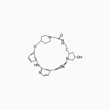 O=C1CN2CCC(CC2)Oc2cccc(c2)Nc2cc(ccn2)-c2cnc(nc2)N2CC(O)CC2CCN1